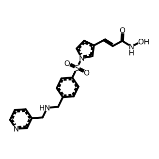 O=C(C=Cc1ccn(S(=O)(=O)c2ccc(CNCc3cccnc3)cc2)c1)NO